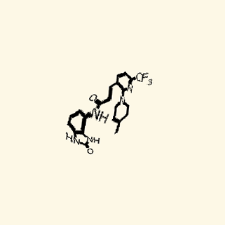 CC1CCN(c2nc(C(F)(F)F)ccc2/C=C/C(=O)Nc2cccc3[nH]c(=O)[nH]c23)CC1